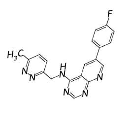 Cc1ccc(CNc2ncnc3ncc(-c4ccc(F)cc4)cc23)nn1